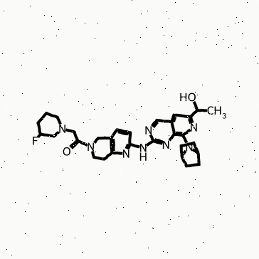 CC(O)c1cc2cnc(Nc3ccc4c(n3)CCN(C(=O)CN3CCCC(F)C3)C4)nc2c(N2C3CCC2CC3)n1